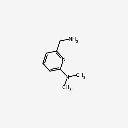 CN(C)c1cccc(CN)n1